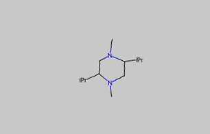 CC(C)C1CN(C)C(C(C)C)CN1C